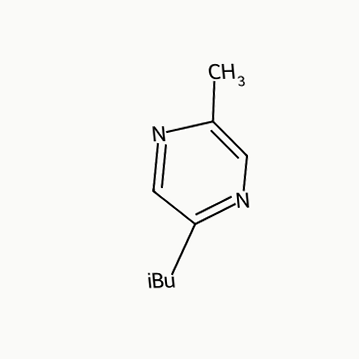 CCC(C)c1cnc(C)cn1